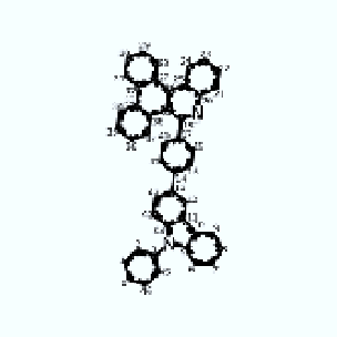 c1ccc(-n2c3ccccc3c3cc(-c4ccc(-c5nc6ccccc6c6c7ccccc7c7ccccc7c56)cc4)ccc32)cc1